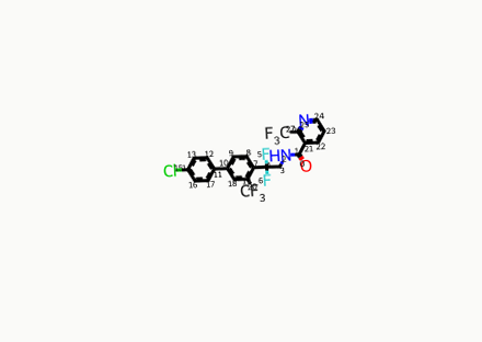 O=C(NCC(F)(F)c1ccc(-c2ccc(Cl)cc2)cc1C(F)(F)F)c1cccnc1C(F)(F)F